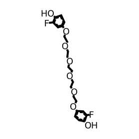 Oc1ccc(OCCOCCOCCOCCOCCOc2ccc(O)c(F)c2)cc1F